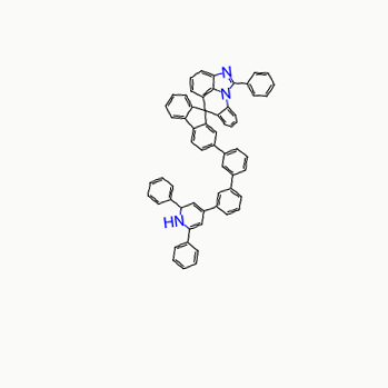 C1=C(c2cccc(-c3cccc(-c4ccc5c(c4)C4(c6ccccc6-5)c5ccccc5-n5c(-c6ccccc6)nc6cccc4c65)c3)c2)C=C(c2ccccc2)NC1c1ccccc1